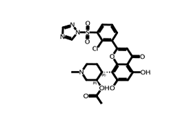 CC(=O)O[C@H]1CN(C)CC[C@@H]1c1c(O)cc(O)c2c(=O)cc(-c3cccc(S(=O)(=O)n4cncn4)c3Cl)oc12